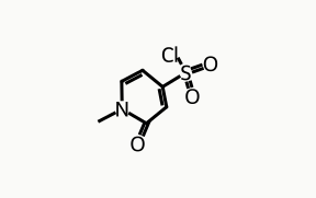 Cn1ccc(S(=O)(=O)Cl)cc1=O